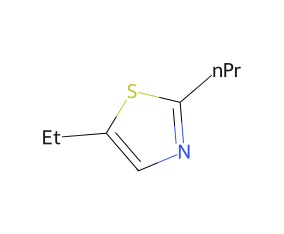 [CH2]Cc1cnc(CCC)s1